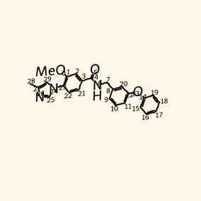 COc1cc(C(=O)NCc2cccc(Oc3ccccc3)c2)ccc1-n1cnc(C)c1